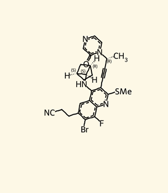 CSc1nc2c(F)c(Br)c(CCC#N)cc2c(N[C@@H]2[C@@H]3CC[C@H]2C3)c1C#C[C@@H](C)n1ccncc1=O